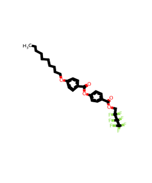 CCCCCCCCCCOc1ccc(C(=O)Oc2ccc(C(=O)OCC(F)(F)C(F)(F)C(F)(F)F)cc2)cc1